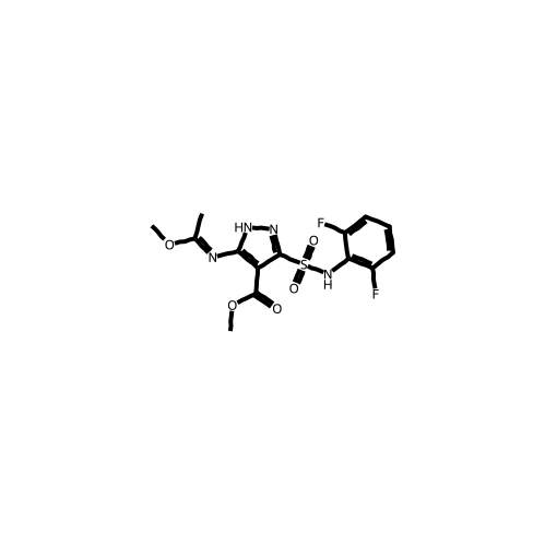 COC(=O)c1c(S(=O)(=O)Nc2c(F)cccc2F)n[nH]c1/N=C(\C)OC